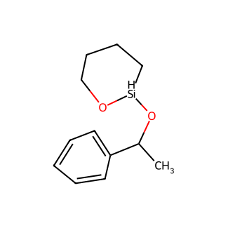 CC(O[SiH]1CCCCO1)c1ccccc1